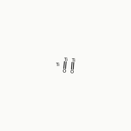 [O]=[Ti].[O]=[Ti].[Ti]